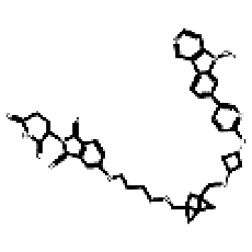 Cn1c2ccncc2c2ccc(-c3ccc(O[C@H]4C[C@H](OCC56CC7(COCCCCOc8ccc9c(c8)C(=O)N(C8CCC(=O)NC8=O)C9=O)CC75C6)C4)nc3)cc21